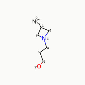 N#CC1CN(CCC[O])C1